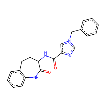 O=C(NC1CCc2ccccc2NC1=O)c1cn(Cc2ccccc2)cn1